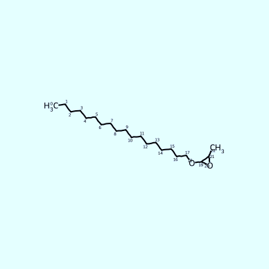 CCCCCCCCCCCCCCCCCCOC1OC1C